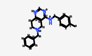 Cc1ccc(CNc2ncnc3c2CN(Cc2ccccc2)CC3)cc1